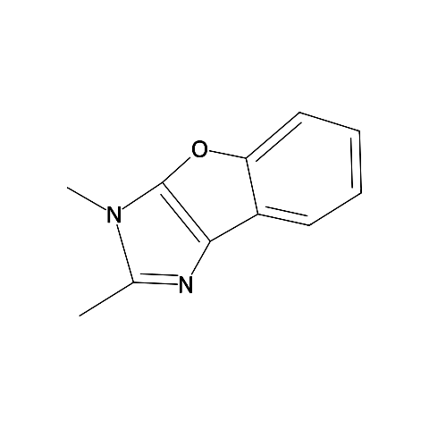 Cc1nc2c3ccccc3oc2n1C